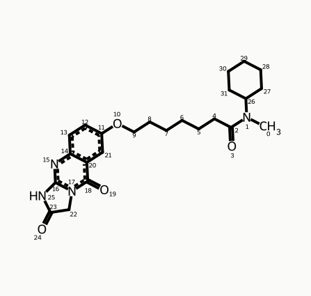 CN(C(=O)CCCCCCOc1ccc2nc3n(c(=O)c2c1)CC(=O)N3)C1CCCCC1